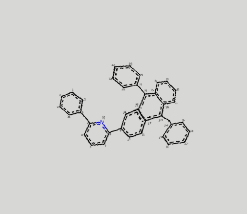 c1ccc(-c2cccc(-c3ccc4c(-c5ccccc5)c5ccccc5c(-c5ccccc5)c4c3)n2)cc1